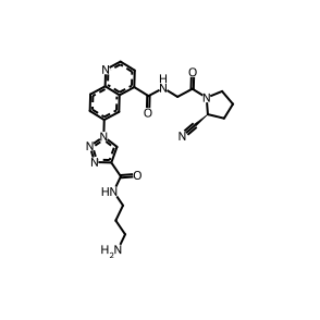 N#C[C@@H]1CCCN1C(=O)CNC(=O)c1ccnc2ccc(-n3cc(C(=O)NCCCN)nn3)cc12